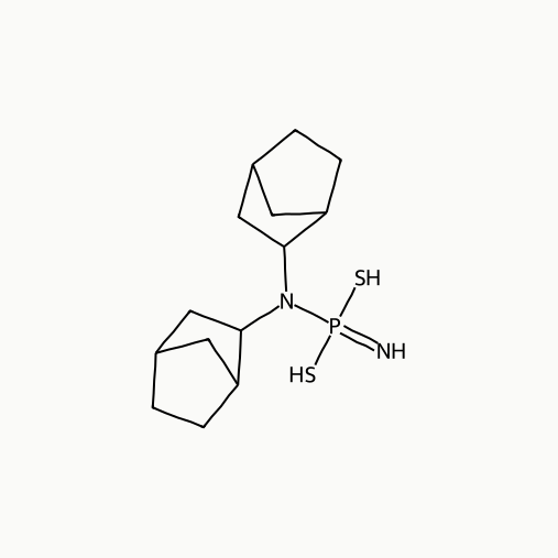 N=P(S)(S)N(C1CC2CCC1C2)C1CC2CCC1C2